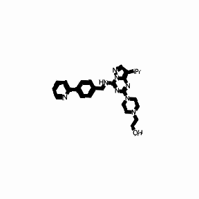 CC(C)c1cnn2c(NCc3ccc(-c4ccccn4)cc3)nc(N3CCN(CCO)CC3)nc12